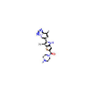 Cc1cc(-c2[nH]c3cc(C(=O)N4CCN(C)CC4)sc3c2C(C)C)cn2ncnc12